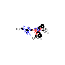 C=CCNc1nc(N)nc2c1ncn2CCOCP(=O)(NC(Cc1ccccc1)C(=O)OCC(C)C)NC(Cc1ccccc1)C(=O)OCC(C)C